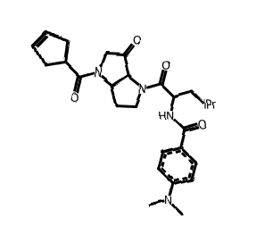 CC(C)CC(NC(=O)c1ccc(N(C)C)cc1)C(=O)N1CCC2C1C(=O)CN2C(=O)C1CC=CC1